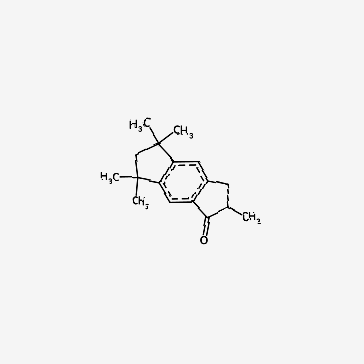 CC1Cc2cc3c(cc2C1=O)C(C)(C)CC3(C)C